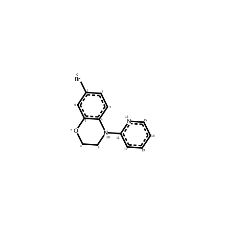 Brc1ccc2c(c1)OCCN2c1ccccn1